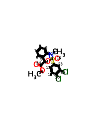 COC(=O)Cc1ccccc1N(C)S(=O)(=O)c1ccc(Cl)c(Cl)c1